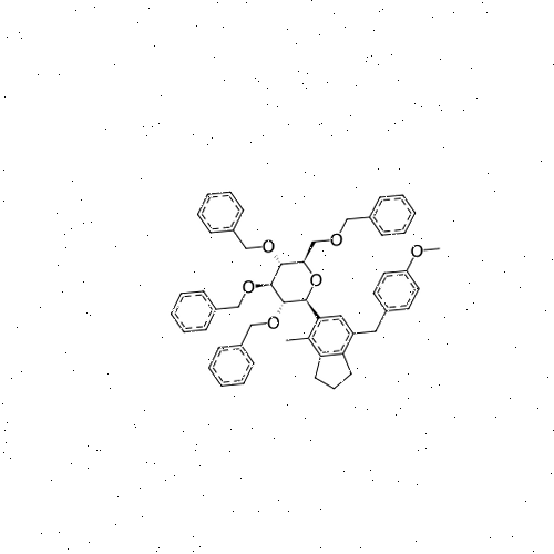 COc1ccc(Cc2cc([C@@H]3O[C@H](COCc4ccccc4)[C@@H](OCc4ccccc4)[C@H](OCc4ccccc4)[C@H]3OCc3ccccc3)c(C)c3c2CCC3)cc1